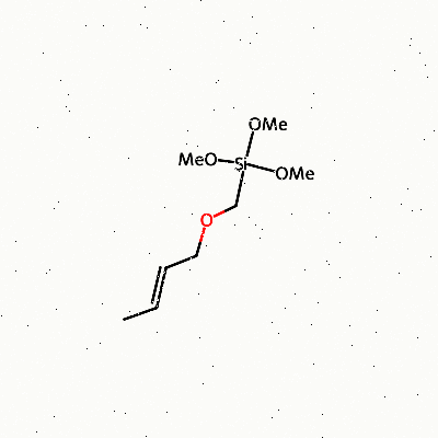 CC=CCOC[Si](OC)(OC)OC